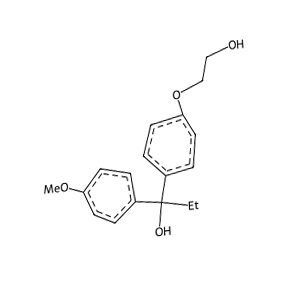 CCC(O)(c1ccc(OC)cc1)c1ccc(OCCO)cc1